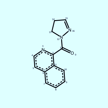 O=C(c1nccc2ccccc12)N1CCC=N1